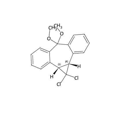 COC1(OC)c2ccccc2[C@@H]2[C@H](c3ccccc31)C2(Cl)Cl